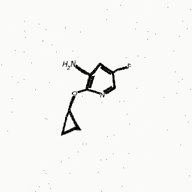 Nc1cc(F)cnc1OC1CC1